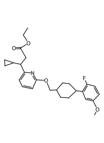 CCOC(=O)CC(c1cccc(OCC2CCC(c3cc(OC)ccc3F)CC2)n1)C1CC1